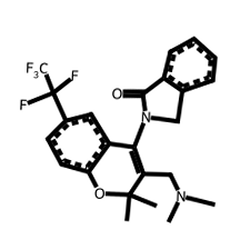 CN(C)CC1=C(N2Cc3ccccc3C2=O)c2cc(C(F)(F)C(F)(F)F)ccc2OC1(C)C